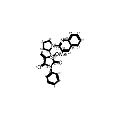 C=C1C(=O)N(c2ccccc2)C(=O)S1(OC)[C@H]1CCCN1c1ccc2ccccc2n1